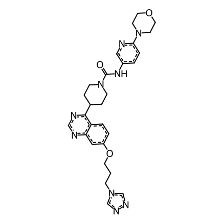 O=C(Nc1ccc(N2CCOCC2)nc1)N1CCC(c2ncnc3cc(OCCCn4cnnc4)ccc23)CC1